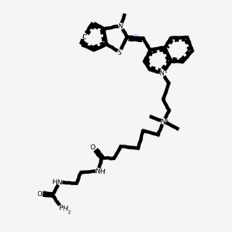 CN1/C(=C/c2cc[n+](CCC[N+](C)(C)CCCCCC(=O)NCCNC(=O)P)c3ccccc23)Sc2ccccc21